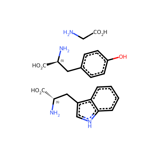 NCC(=O)O.N[C@@H](Cc1c[nH]c2ccccc12)C(=O)O.N[C@@H](Cc1ccc(O)cc1)C(=O)O